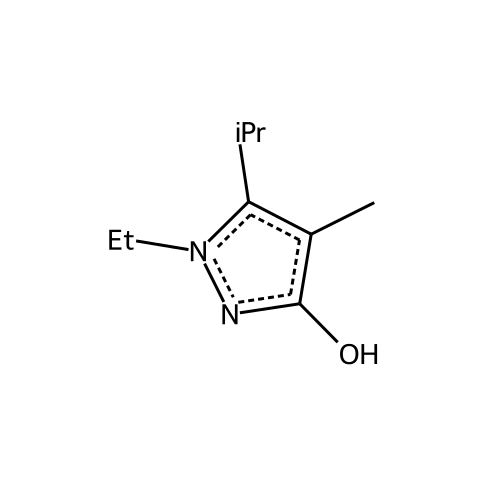 CCn1nc(O)c(C)c1C(C)C